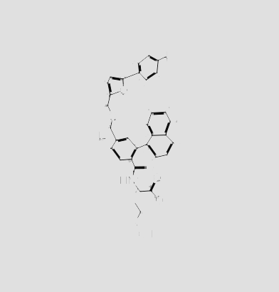 CSCC[C@H](NC(=O)c1ccc(COCc2ccc(-c3ccc(F)cc3)o2)cc1-c1cccc2ccccc12)C(=O)[O-].[Li+]